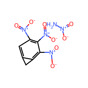 N[N+](=O)[O-].O=[N+]([O-])c1cc2c(c([N+](=O)[O-])c1[N+](=O)[O-])C2